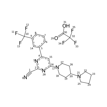 N#Cc1nc(-c2cccc(C(F)(F)F)c2)cc(N2CCC(N3CCCC3)CC2)n1.O=C(O)C(F)(F)F